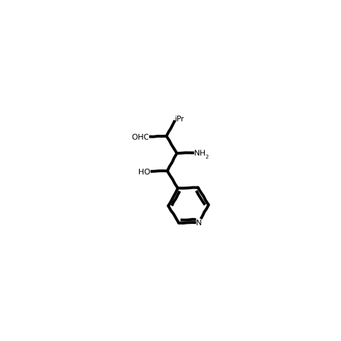 CC(C)C(C=O)C(N)C(O)c1ccncc1